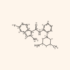 CC1CC(N)CN(c2ccncc2NC(=O)c2c(N)oc3cc(F)cnc23)C1